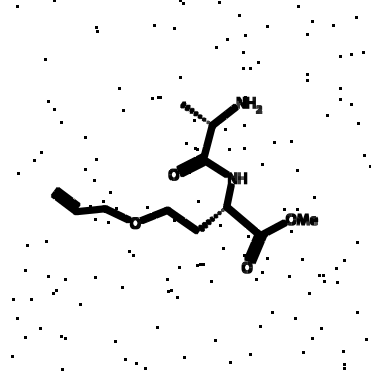 C=CCOCC[C@H](NC(=O)[C@H](C)N)C(=O)OC